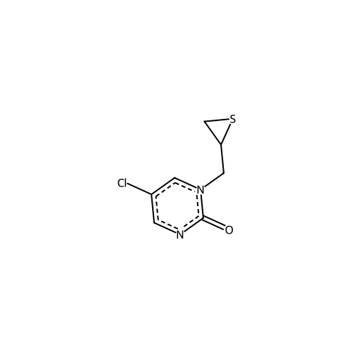 O=c1ncc(Cl)cn1CC1CS1